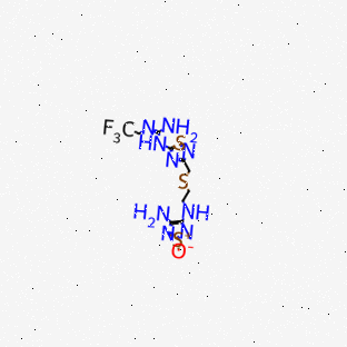 N/C(=N/CC(F)(F)F)Nc1nc(CSCCNc2n[s+]([O-])nc2N)ns1